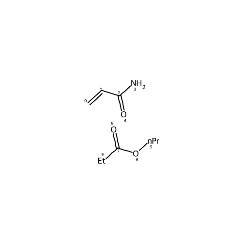 C=CC(N)=O.CCCOC(=O)CC